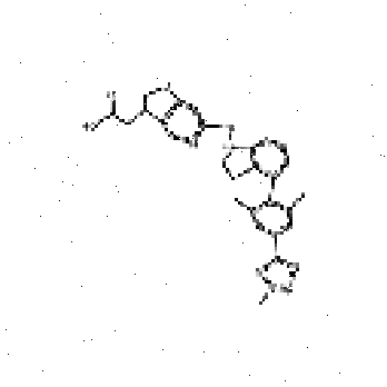 Cc1cc(-c2nnn(C)n2)cc(C)c1-c1cccc2c1CC[C@H]2Nc1cc2c(cn1)C(CC(=O)O)CO2